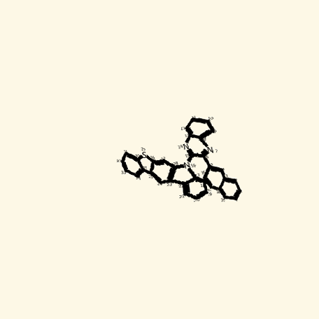 c1ccc2cc(-c3nc4ccccc4nc3-n3c4ccccc4c4cc5c(cc43)sc3ccccc35)ccc2c1